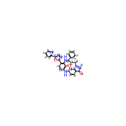 CC(C)n1c2nc(Nc3cc(N[C@H](CO)c4ccccc4)c(-c4nnc(-c5ccccn5)o4)cn3)ccc2c(=O)n1C